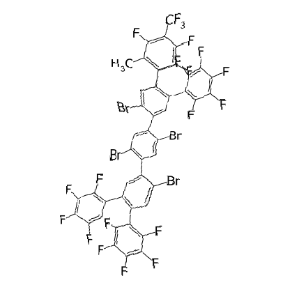 Cc1c(F)c(C(F)(F)F)c(F)c(F)c1-c1cc(Br)c(-c2cc(Br)c(-c3cc(-c4cc(F)c(F)c(F)c4F)c(-c4c(F)c(F)c(F)c(F)c4F)cc3Br)cc2Br)cc1-c1c(F)c(F)c(F)c(F)c1F